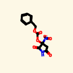 O=C1CC(OC(=O)OCc2ccccc2)([N+](=O)[O-])C(=O)N1